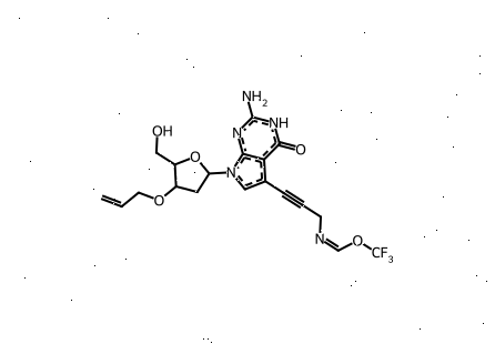 C=CCOC1CC(n2cc(C#CC/N=C\OC(F)(F)F)c3c(=O)[nH]c(N)nc32)OC1CO